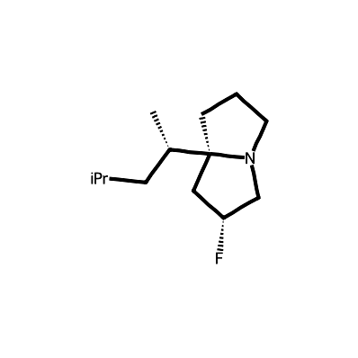 CC(C)C[C@H](C)[C@@]12CCCN1C[C@H](F)C2